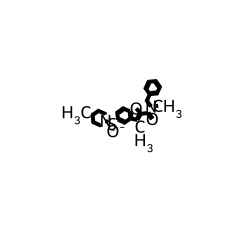 Cc1c(C(=O)N(C)Cc2ccccc2)oc2ccc([S+]([O-])N3CCC(C)CC3)cc12